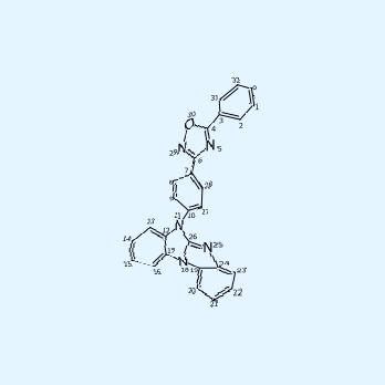 c1ccc(-c2nc(-c3ccc(-n4c5ccccc5n5c6ccccc6nc45)cc3)no2)cc1